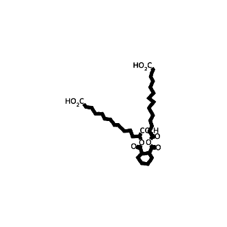 O=C(O)CCCCCCCCCCCCC(=O)OC(=O)C1CCCCC1C(=O)OC(CCCCCCCCCCCC(=O)O)C(=O)O